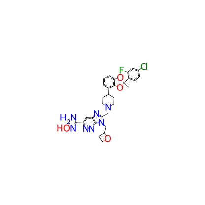 CC1(c2ccc(Cl)cc2F)Oc2cccc(C3CCN(Cc4nc5cc(C(N)=NO)nnc5n4CC4CCO4)CC3)c2O1